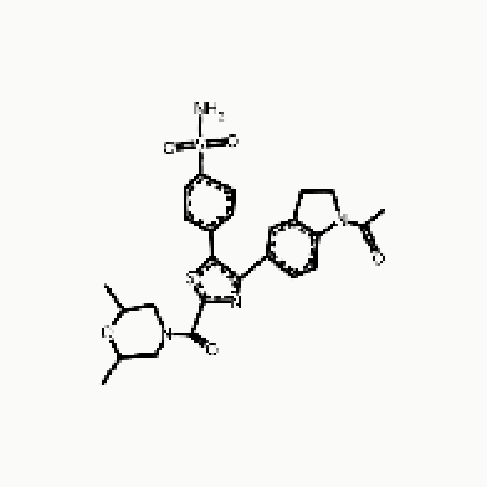 CC(=O)N1CCc2cc(-c3nc(C(=O)N4CC(C)OC(C)C4)sc3-c3ccc(S(N)(=O)=O)cc3)ccc21